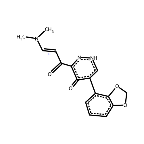 CN(C)/C=C/C(=O)c1n[nH]cc(-c2cccc3c2OCO3)c1=O